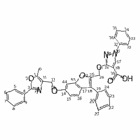 Cc1oc(-c2ccccc2)nc1COc1ccc2c(-c3ccccc3)c(COc3nn(-c4ccccc4)cc3C(=O)O)oc2c1